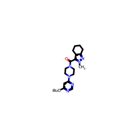 CC(C)COc1cc(N2CCN(C(=O)c3c4c(nn3C)CCCC4)CC2)ncn1